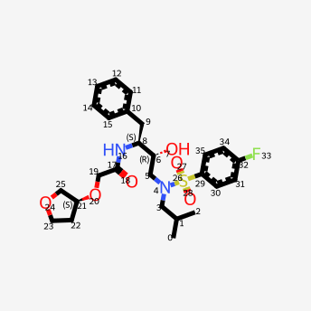 CC(C)CN(C[C@@H](O)[C@H](Cc1ccccc1)NC(=O)CO[C@H]1CCOC1)S(=O)(=O)c1ccc(F)cc1